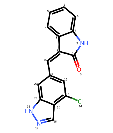 O=C1Nc2ccccc2C1=Cc1cc(Cl)c2cn[nH]c2c1